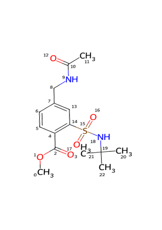 COC(=O)c1ccc(CNC(C)=O)cc1S(=O)(=O)NC(C)(C)C